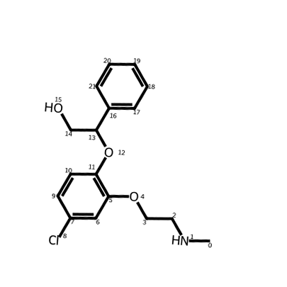 CNCCOc1cc(Cl)ccc1OC(CO)c1ccccc1